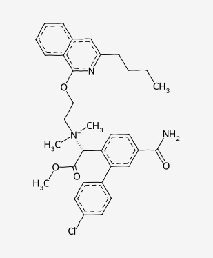 CCCCc1cc2ccccc2c(OCC[N+](C)(C)[C@@H](C(=O)OC)c2ccc(C(N)=O)cc2-c2ccc(Cl)cc2)n1